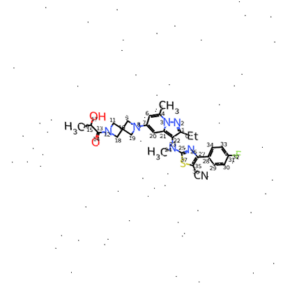 CCc1nn2c(C)cc(N3CC4(CN(C(=O)C(C)O)C4)C3)cc2c1N(C)c1nc(-c2ccc(F)cc2)c(C#N)s1